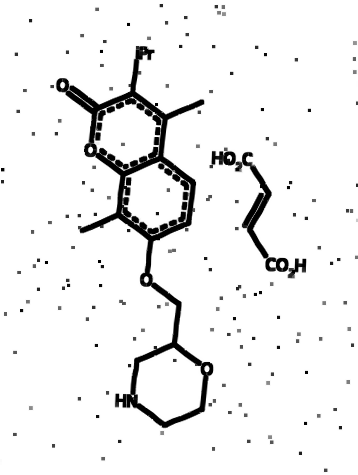 Cc1c(C(C)C)c(=O)oc2c(C)c(OCC3CNCCO3)ccc12.O=C(O)/C=C/C(=O)O